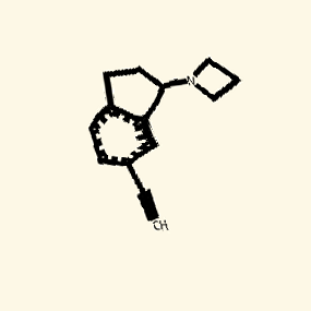 C#Cc1ccc2c(c1)C(N1CCC1)CC2